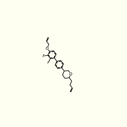 C=CCCC1CCC(c2ccc(-c3ccc(OCC=C)c(F)c3F)cc2)CO1